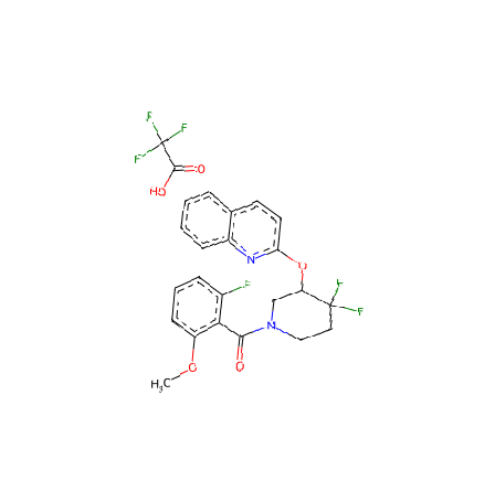 COc1cccc(F)c1C(=O)N1CCC(F)(F)C(Oc2ccc3ccccc3n2)C1.O=C(O)C(F)(F)F